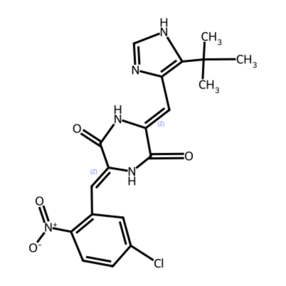 CC(C)(C)c1[nH]cnc1/C=c1\[nH]c(=O)/c(=C/c2cc(Cl)ccc2[N+](=O)[O-])[nH]c1=O